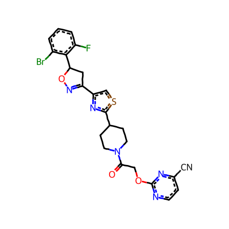 N#Cc1ccnc(OCC(=O)N2CCC(c3nc(C4=NOC(c5c(F)cccc5Br)C4)cs3)CC2)n1